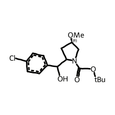 CO[C@@H]1CC(C(O)c2ccc(Cl)cc2)N(C(=O)OC(C)(C)C)C1